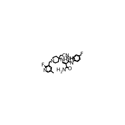 Cc1cnc(F)c(CN2CCC(CC#N)(N/C=C(\C(=N)Nc3ccc(F)cc3)C(N)=O)CC2)c1